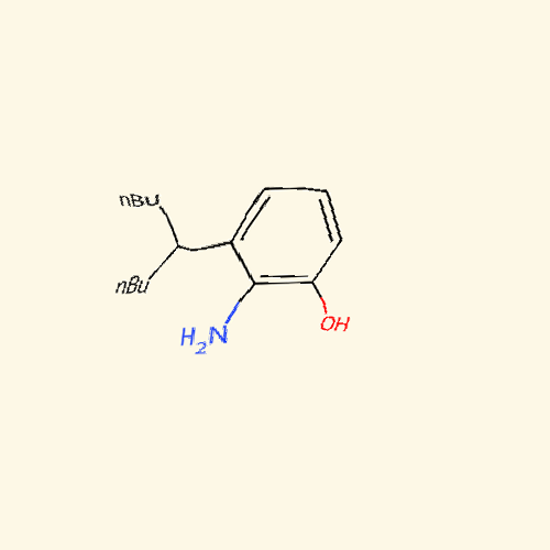 CCCCC(CCCC)c1cccc(O)c1N